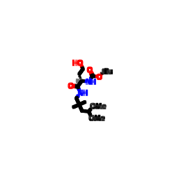 COC(CC(C)(C)CNC(=O)[C@H](CCO)NC(=O)OC(C)(C)C)OC